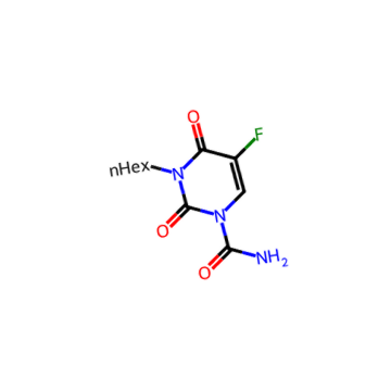 CCCCCCn1c(=O)c(F)cn(C(N)=O)c1=O